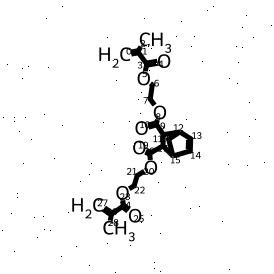 C=C(C)C(=O)OCCOC(=O)C1C2C=CC(C2)C1C(=O)OCCOC(=O)C(=C)C